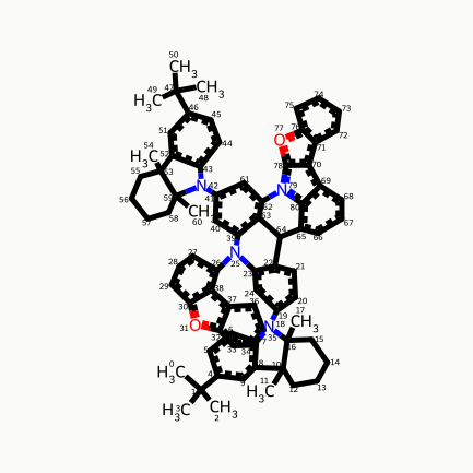 CC(C)(C)c1ccc2c(c1)C1(C)CCCCC1(C)N2c1ccc2c(c1)N(c1cccc3oc4ccccc4c13)c1cc(N3c4ccc(C(C)(C)C)cc4C4(C)CCCCC34C)cc3c1C2c1cccc2c4c5ccccc5oc4n-3c12